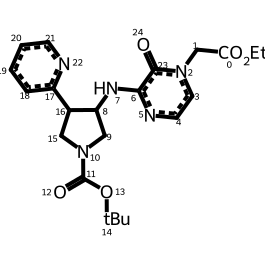 CCOC(=O)Cn1ccnc(NC2CN(C(=O)OC(C)(C)C)CC2c2ccccn2)c1=O